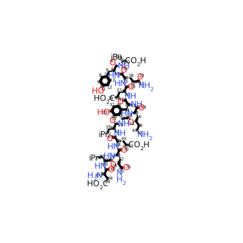 CC[C@H](C)[C@H](NC(=O)[C@H](Cc1ccc(O)cc1)NC(=O)[C@H](CCC(N)=O)NC(=O)[C@H](CCC(=O)O)NC(=O)[C@H](Cc1ccc(O)cc1)NC(=O)[C@H](CCCCN)NC(=O)CNC(=O)[C@H](CC(C)C)NC(=O)[C@H](CCC(=O)O)NC(=O)[C@H](CCC(N)=O)NC(=O)[C@H](CC(C)C)NC(=O)[C@@H](N)CC(=O)O)C(=O)O